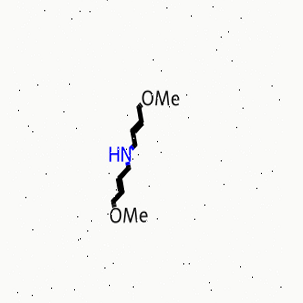 COCC=CCNCC=CCOC